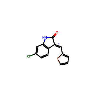 O=C1Nc2cc(Cl)ccc2/C1=C\c1cccs1